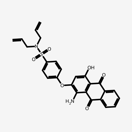 C=CCN(CC=C)S(=O)(=O)c1ccc(Oc2cc(O)c3c(c2N)C(=O)c2ccccc2C3=O)cc1